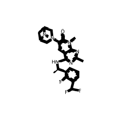 Cc1nc(N[C@H](C)c2cccc(C(F)F)c2F)c2cc(N3CC4CC(C3)N4C)c(=O)n(C)c2n1